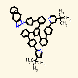 CC(C)(C)c1ccnc(-c2ccc(-c3ccccc3-c3cc(-c4ccccc4-c4ccc(-c5cc(C(C)(C)C)ccn5)cc4)cc(-c4ccccc4-c4ccc(-n5cnc6cc7c(cc65)C5CCC7CC5)cc4)c3)cc2)c1